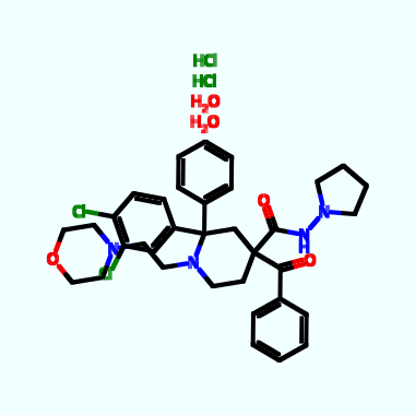 Cl.Cl.O.O.O=C(NN1CCCC1)C1(C(=O)c2ccccc2)CCN(CCN2CCOCC2)C(c2ccccc2)(c2ccc(Cl)c(Cl)c2)C1